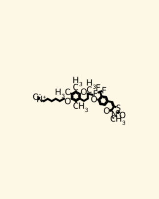 [C-]#[N+]CCCCCCOc1c(C)c(C)c2c(c1C)CCC(C)(COc1ccc(/C=C3/SC(=O)N(C)C3=O)cc1C(F)(F)F)O2